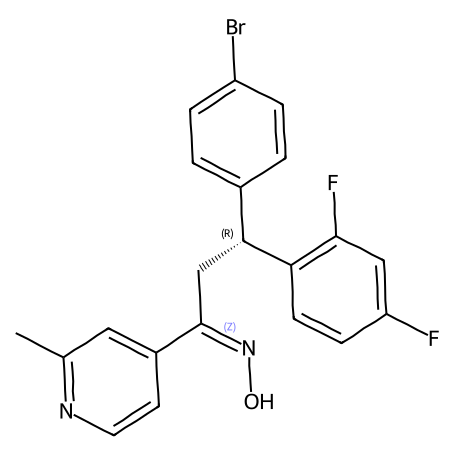 Cc1cc(/C(C[C@H](c2ccc(Br)cc2)c2ccc(F)cc2F)=N\O)ccn1